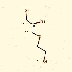 SCCSC[C@H](S)CS